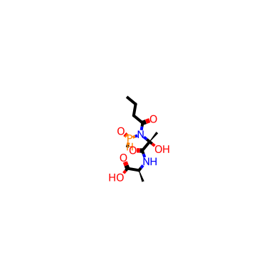 CCCC(=O)N([PH](C)=O)[C@](C)(O)C(=O)N[C@@H](C)C(=O)O